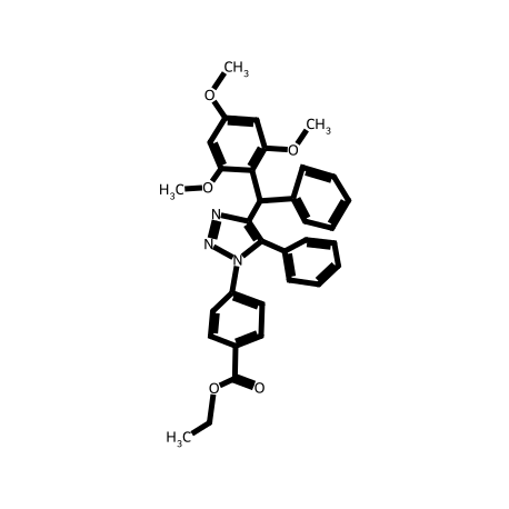 CCOC(=O)c1ccc(-n2nnc(C(c3ccccc3)c3c(OC)cc(OC)cc3OC)c2-c2ccccc2)cc1